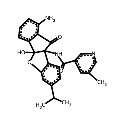 Cc1cncc(C(=O)NC23C(=O)c4c(N)cccc4C2(O)Oc2cc(C(C)C)ccc23)c1